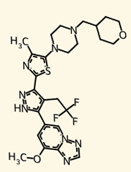 COc1cc(-c2[nH]nc(-c3nc(C)c(N4CCN(CC5CCOCC5)CC4)s3)c2CC(F)(F)F)cn2ncnc12